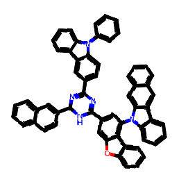 c1ccc(-n2c3ccccc3c3cc(C4=NC(c5ccc6ccccc6c5)NC(c5cc(-n6c7ccccc7c7cc8ccccc8cc76)c6c(c5)oc5ccccc56)=N4)ccc32)cc1